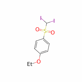 CCOc1ccc(S(=O)(=O)C(I)I)cc1